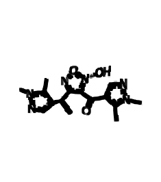 C=C(c1cnn(C)c1C)c1no[n+](O)c1C(=O)c1cnn(C)c1C